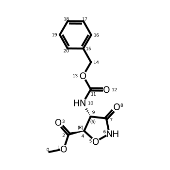 COC(=O)[C@@H]1ONC(=O)[C@H]1NC(=O)OCc1ccccc1